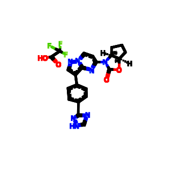 O=C(O)C(F)(F)F.O=C1O[C@@H]2CCC[C@@H]2N1c1ccn2ncc(-c3ccc(-c4nc[nH]n4)cc3)c2n1